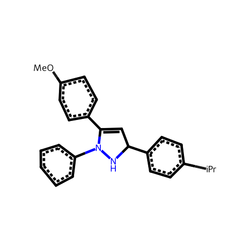 COc1ccc(C2=CC(c3ccc(C(C)C)cc3)NN2c2ccccc2)cc1